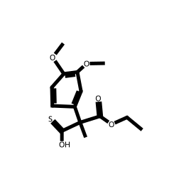 CCOC(=O)C(C)(C(O)=S)c1ccc(OC)c(OC)c1